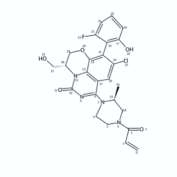 C=CC(=O)N1CCN(c2nc(=O)n3c4c(c(-c5c(O)cccc5F)c(Cl)cc24)OC[C@H]3CO)[C@@H](C)C1